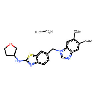 CC(=O)O.COc1cc2ncn(Cc3ccc4nc(NC5CCOC5)sc4c3)c2cc1OC